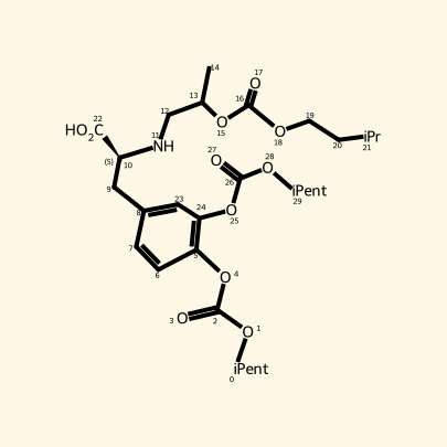 CCCC(C)OC(=O)Oc1ccc(C[C@H](NCC(C)OC(=O)OCCC(C)C)C(=O)O)cc1OC(=O)OC(C)CCC